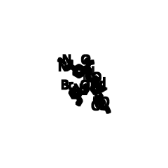 C=Cc1ccc(Br)nc1CC(=O)[C@@H]1C[C@@]2(CN(C)S(=O)(=O)CCC)C[C@H]2N1C(=O)Cn1nc(C(C)=O)c2cc(-c3cnc(C)nc3)ccc21